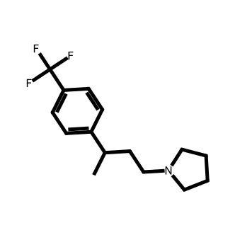 CC(CCN1CCCC1)c1ccc(C(F)(F)F)cc1